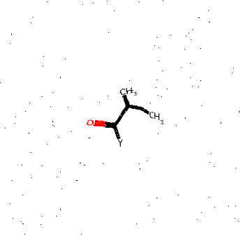 CC(C)[C](=O)[Y]